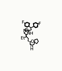 CC/C(CC[C@@H]1CNCC2(CCCC2)O1)=C(\C=N)NC(=O)CC(c1ccc(F)cc1)c1ccc(F)cc1